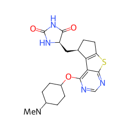 CNC1CCC(Oc2ncnc3sc4c(c23)[C@@H](C[C@H]2NC(=O)NC2=O)CC4)CC1